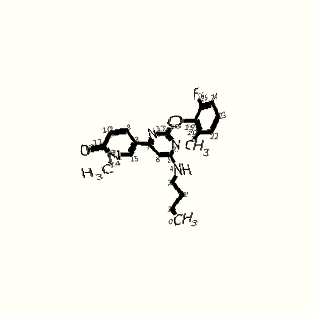 CCCCNc1cc(-c2ccc(=O)n(C)c2)nc(Oc2c(C)cccc2F)n1